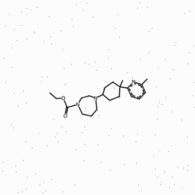 CCOC(=O)N1CCCN(C2CCC(C)(c3cccc(C)n3)CC2)CC1